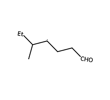 CCC(C)[CH]CCC=O